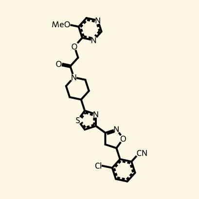 COc1cncnc1OCC(=O)N1CCC(c2nc(C3=NOC(c4c(Cl)cccc4C#N)C3)cs2)CC1